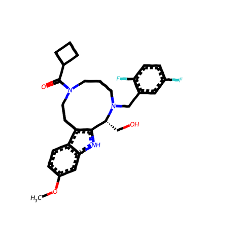 COc1ccc2c3c([nH]c2c1)[C@@H](CO)N(Cc1cc(F)ccc1F)CCCN(C(=O)C1CCC1)CC3